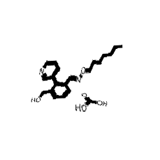 CCCCCCCON=Cc1cccc(CO)c1-c1cccnc1.O=C(O)O